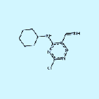 N=Cc1cnc(Cl)nc1NC1CCCCC1